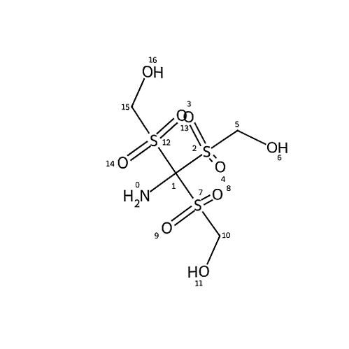 NC(S(=O)(=O)CO)(S(=O)(=O)CO)S(=O)(=O)CO